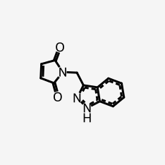 O=C1C=CC(=O)N1Cc1n[nH]c2ccccc12